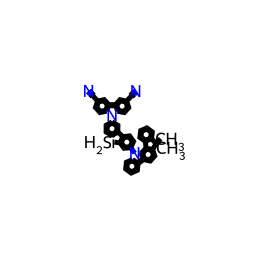 CC1(C)c2ccccc2-c2c1ccc1c3ccccc3n(-c3ccc4c(c3)[SiH2]c3ccc(-n5c6ccc(C#N)cc6c6cc(C#N)ccc65)cc3-4)c21